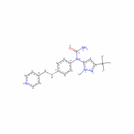 Cn1nc(C(C)(C)C)cc1N(C(N)=O)c1ccc(SCc2ccncc2)cc1